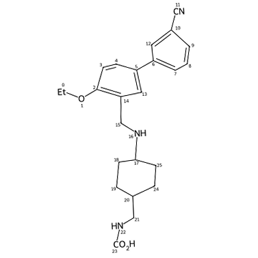 CCOc1ccc(-c2cccc(C#N)c2)cc1CNC1CCC(CNC(=O)O)CC1